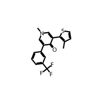 Cc1ccsc1-c1cn(C)cc(-c2cccc(C(F)(F)F)c2)c1=O